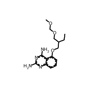 CCC(COCOC)COc1cccc2nc(N)nc(N)c12